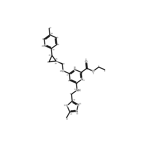 CCOC(=O)c1nc(NCc2nnc(C)s2)cc(OC[C@H]2CC2c2ccc(C)cn2)n1